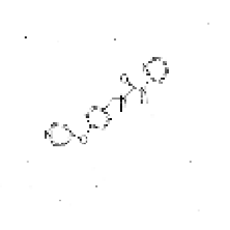 O=C(NCc1ccc(Oc2ccncc2)cc1)Nc1ccccn1